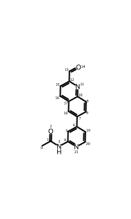 CC(=O)Nc1cc(-c2ccc3nc(C=O)ccc3c2)ccn1